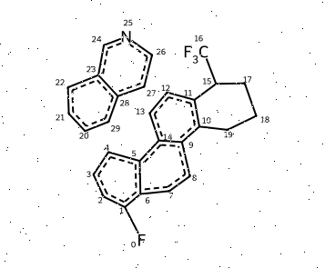 Fc1cccc2c1ccc1c3c(ccc12)C(C(F)(F)F)CCC3.c1ccc2cnccc2c1